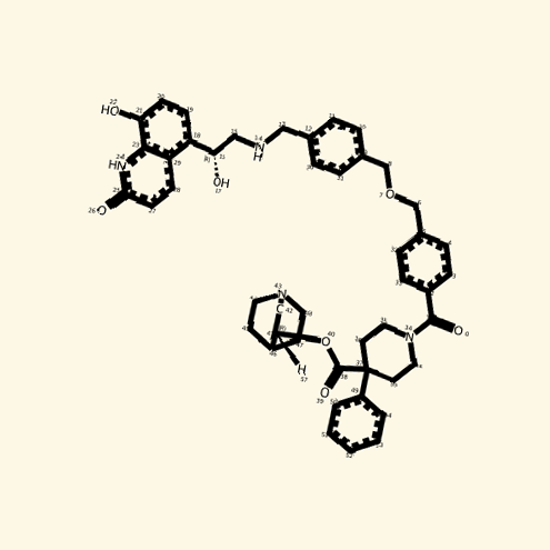 O=C(c1ccc(COCc2ccc(CNC[C@H](O)c3ccc(O)c4[nH]c(=O)ccc34)cc2)cc1)N1CCC(C(=O)O[C@H]2CN3CCC2CC3)(c2ccccc2)CC1